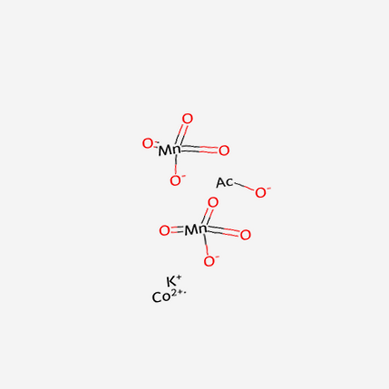 CC(=O)[O-].[Co+2].[K+].[O]=[Mn](=[O])(=[O])[O-].[O]=[Mn](=[O])(=[O])[O-]